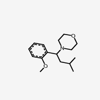 COc1ccccc1C(CC(C)C)N1CCOCC1